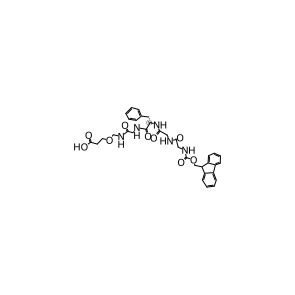 O=C(O)CCOCNC(=O)CNC(=O)[C@H](Cc1ccccc1)NC(=O)CNC(=O)CNC(=O)OCC1c2ccccc2-c2ccccc21